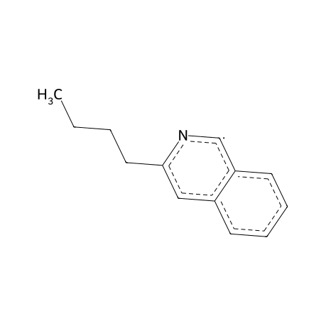 CCCCc1cc2ccccc2[c]n1